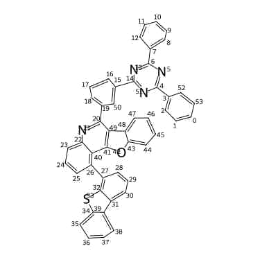 c1ccc(-c2nc(-c3ccccc3)nc(-c3cccc(-c4nc5cccc(-c6cccc7c6sc6ccccc67)c5c5oc6ccccc6c45)c3)n2)cc1